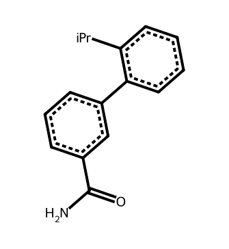 CC(C)c1ccccc1-c1cccc(C(N)=O)c1